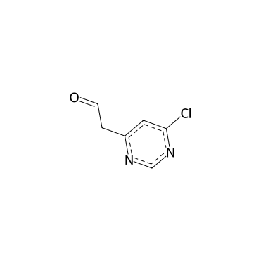 O=CCc1cc(Cl)ncn1